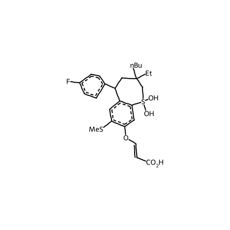 CCCCC1(CC)CC(c2ccc(F)cc2)c2cc(SC)c(O/C=C/C(=O)O)cc2S(O)(O)C1